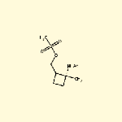 CC(=O)N[C@]1(C)CCC1COS(C)(=O)=O